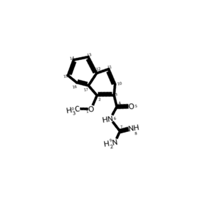 COc1c(C(=O)NC(=N)N)ccc2ccccc12